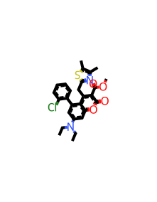 CCN(CC)c1cc(-c2ccccc2Cl)c2c(Cc3nc(C)c(C)s3)c(C(=O)OC)c(=O)oc2c1